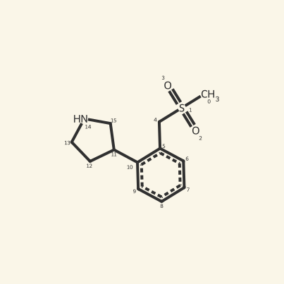 CS(=O)(=O)Cc1ccccc1C1CCNC1